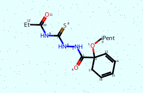 CCCC(C)OC1(C(=O)NNC(=S)NC(=O)CC)C=CC=CC1